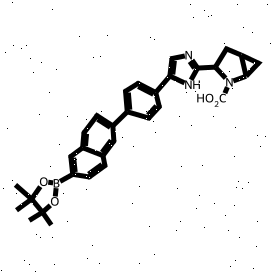 CC1(C)OB(c2ccc3cc(-c4ccc(-c5cnc(C6CC7CC7N6C(=O)O)[nH]5)cc4)ccc3c2)OC1(C)C